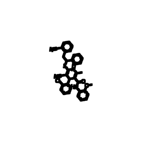 COc1ccccc1NC(=O)C1=C(C)NC(SC(Cc2ccccc2C#N)c2ccccc2)=C(C#N)C1c1ccccc1Cl